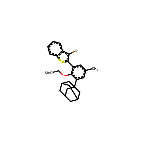 COCOc1c(-c2sc3ccccc3c2Br)cc(C)cc1C12CC3CC(CC(C3)C1)C2